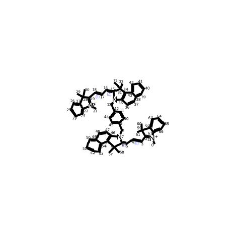 C[N+]1=C(/C=C/C=C2\N(Cc3ccc(CN4/C(=C\C=C\C5=[N+](C)c6ccccc6C5(C)C)C(C)(C)c5c4ccc4ccccc54)cc3)c3ccc4ccccc4c3C2(C)C)C(C)(C)c2ccccc21